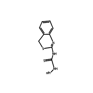 CCCNC(=S)NC1=Nc2ccccc2CS1